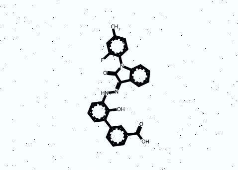 Cc1ccc(N2C(=O)C(=NNc3cccc(-c4cccc(C(=O)O)c4)c3O)c3ccccc32)c(F)c1